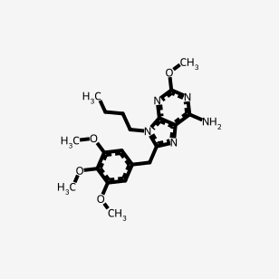 CCCCn1c(Cc2cc(OC)c(OC)c(OC)c2)nc2c(N)nc(OC)nc21